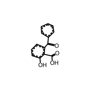 O=C(c1ccccc1)c1cccc(O)c1C(=O)O